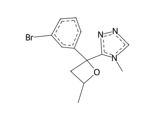 CC1CC(c2cccc(Br)c2)(c2nncn2C)O1